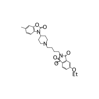 CCOc1ccc2c(c1)C(=O)N(CCCCN1CCC(n3c(=O)oc4cc(C)ccc43)CC1)S2(=O)=O